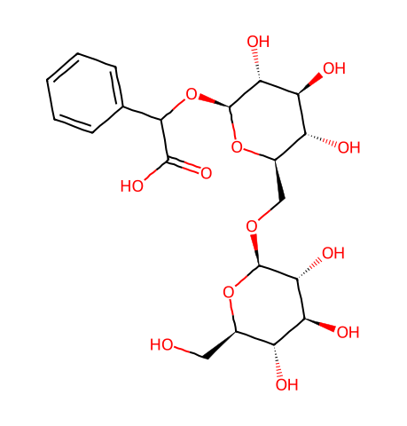 O=C(O)C(O[C@@H]1O[C@H](CO[C@@H]2O[C@H](CO)[C@@H](O)[C@H](O)[C@H]2O)[C@@H](O)[C@H](O)[C@H]1O)c1ccccc1